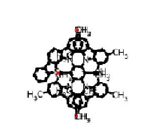 Cc1ccc2c(c1)c1ccc3c4ccccc4sc3c1n2-c1c(C#N)c(-n2c3c(C)cc(C)cc3c3cc(C)cc(C)c32)c(-n2c3c(C)cc(C)cc3c3cc(C)cc(C)c32)c(C#N)c1-n1c2c(C)cc(C)cc2c2cc(C)cc(C)c21